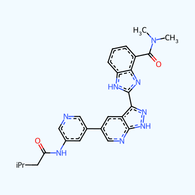 CC(C)CC(=O)Nc1cncc(-c2cnc3[nH]nc(-c4nc5c(C(=O)N(C)C)cccc5[nH]4)c3c2)c1